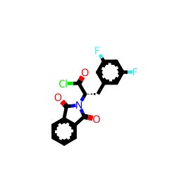 O=C(Cl)[C@H](Cc1cc(F)cc(F)c1)N1C(=O)c2ccccc2C1=O